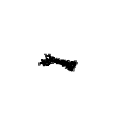 Cc1nsc(NS(=O)(=O)c2ccc(N3CCN(C(=O)C(C)n4ccc5cc(F)ccc54)CC3)cc2)n1